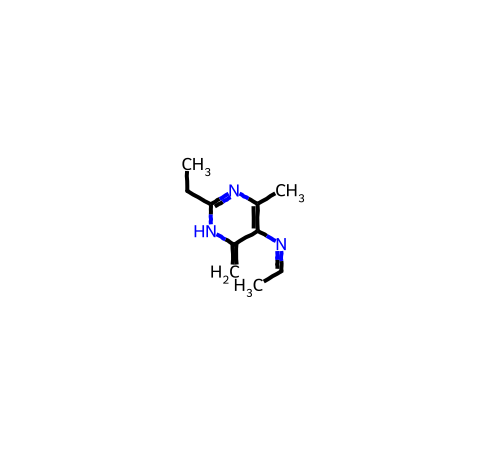 C=C1NC(CC)=NC(C)=C1/N=C\C